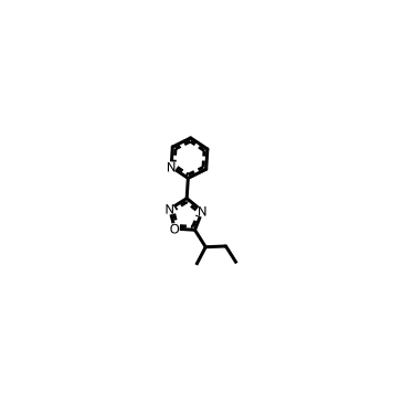 CCC(C)c1nc(-c2ccccn2)no1